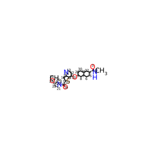 CNC(=O)c1ccc2cc(Oc3ccnc4cc(C(=O)N5CC[C@@H](OC)C5)sc34)ccc2c1